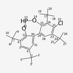 CC(C)(C)c1cc(C(C)(C)C)c2o[pH]oc3c(C(C)(C)C)c(Cl)c(C(C)(C)C)cc3c2c1